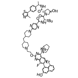 CCc1cccc2cc(O)cc(-c3ncc4c(N5CC6CCC(C5)N6)nc(OCCN5CCC(CC6CCN(c7cnc(C(=O)NC(C(=O)N8C[C@H](O)C[C@H]8C(=O)NC(C)c8ccc(-c9scnc9C)cc8)C(C)(C)C)cn7)CC6)CC5)nc4c3F)c12